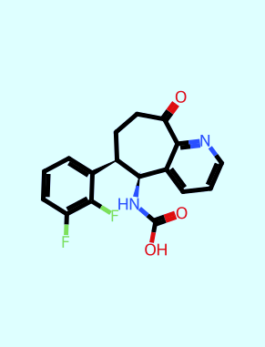 O=C(O)N[C@@H]1c2cccnc2C(=O)CC[C@@H]1c1cccc(F)c1F